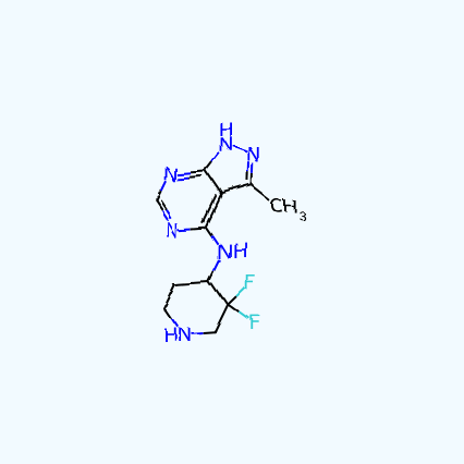 Cc1n[nH]c2ncnc(NC3CCNCC3(F)F)c12